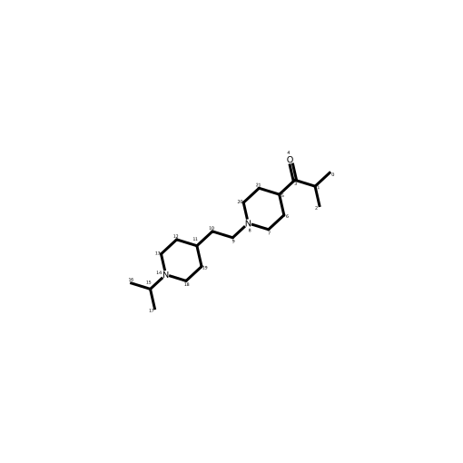 CC(C)C(=O)C1CCN(CCC2CCN(C(C)C)CC2)CC1